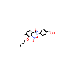 CCCCOc1c(C)ccc(C(=O)Nc2ccc(CO)cc2)c1[N+](=O)[O-]